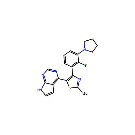 CC(C)(C)c1nc(-c2cccc(N3CCCC3)c2F)c(-c2ncnc3[nH]ccc23)s1